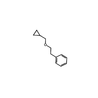 c1ccc(CCOC[C]2CC2)cc1